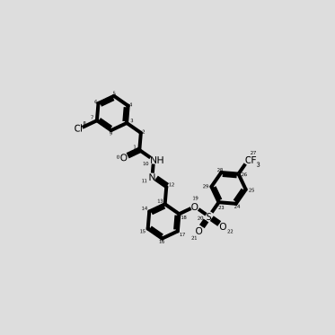 O=C(Cc1cccc(Cl)c1)NN=Cc1ccccc1OS(=O)(=O)c1ccc(C(F)(F)F)cc1